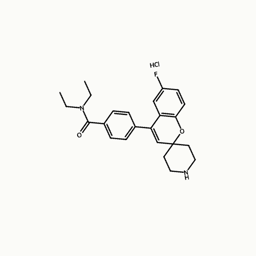 CCN(CC)C(=O)c1ccc(C2=CC3(CCNCC3)Oc3ccc(F)cc32)cc1.Cl